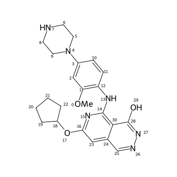 COc1cc(N2CCNCC2)ccc1Nc1nc(OC2CCCC2)cc2cnnc(O)c12